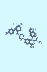 C[C@@H]1CN(c2cc(N3CCN(CC4=C(c5ccc(Cl)cc5)CC(C)(C)CC4)CC3)ccc2C(N)=O)c2cc3cc[nH]c3nc2O1